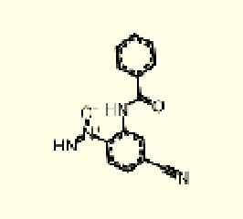 N#Cc1ccc([N+](=N)[O-])c(NC(=O)c2ccccc2)c1